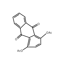 CC(=O)Oc1ccc(OC(C)=O)c2c1C(=O)c1ccccc1C2=O